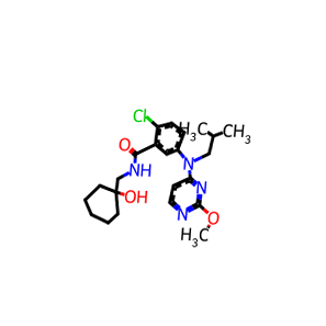 COc1nccc(N(CC(C)C)c2ccc(Cl)c(C(=O)NCC3(O)CCCCC3)c2)n1